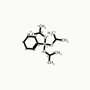 CC(C)O[Si](OC(C)C)(OC(C)C)C1=CCCCC1